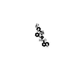 CCOc1ccc(-c2nnc([C@H]3C[C@H](NC(=O)c4cccc5ncccc45)C3)n2-c2ccccc2F)nc1